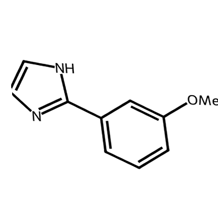 [CH2]Oc1cccc(-c2ncc[nH]2)c1